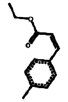 CCOC(=O)/C=C\c1ccc(C)cc1